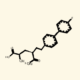 CC(C[C@@H](CCc1ccc(-c2ccc(F)cc2)cc1)C(=O)O)C(=O)O